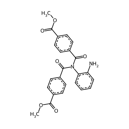 COC(=O)c1ccc(C(=O)N(C(=O)c2ccc(C(=O)OC)cc2)c2ccccc2N)cc1